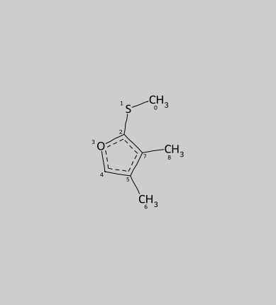 CSc1occ(C)c1C